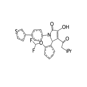 CC(C)CC(=O)C1=C(O)C(=O)N(c2ccc(-c3ccsc3)cc2)C1c1ccccc1OC(F)F